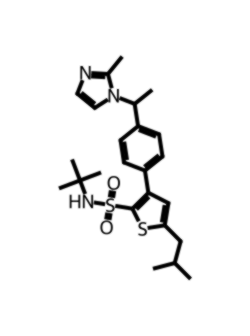 Cc1nccn1C(C)c1ccc(-c2cc(CC(C)C)sc2S(=O)(=O)NC(C)(C)C)cc1